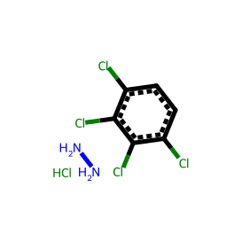 Cl.Clc1ccc(Cl)c(Cl)c1Cl.NN